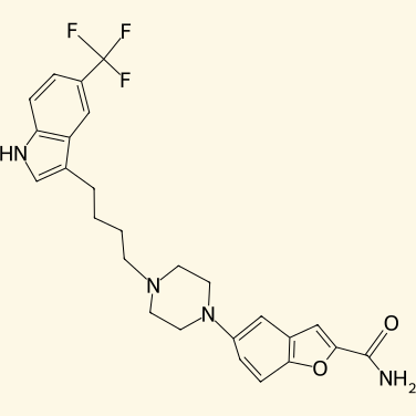 NC(=O)c1cc2cc(N3CCN(CCCCc4c[nH]c5ccc(C(F)(F)F)cc45)CC3)ccc2o1